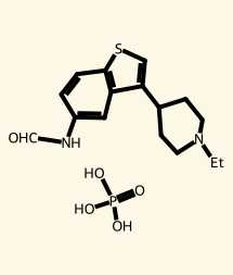 CCN1CCC(c2csc3ccc(NC=O)cc23)CC1.O=P(O)(O)O